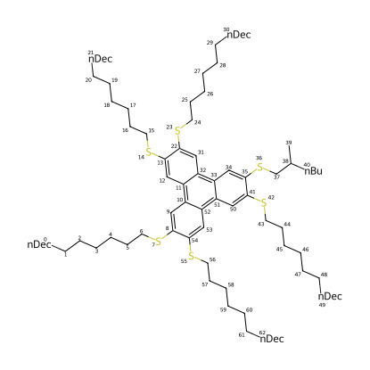 CCCCCCCCCCCCCCCCSc1cc2c3cc(SCCCCCCCCCCCCCCCC)c(SCCCCCCCCCCCCCCCC)cc3c3cc(SCC(C)CCCC)c(SCCCCCCCCCCCCCCCC)cc3c2cc1SCCCCCCCCCCCCCCCC